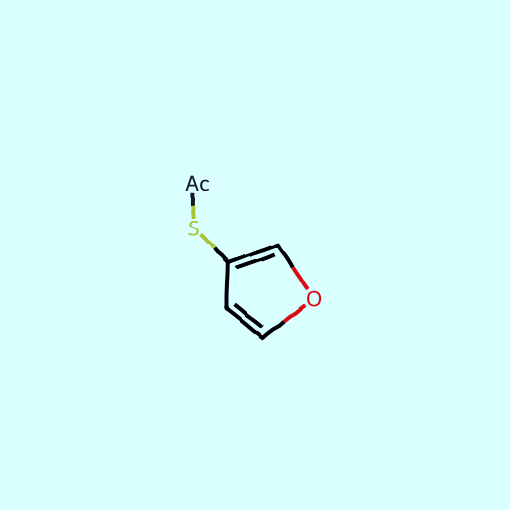 CC(=O)Sc1ccoc1